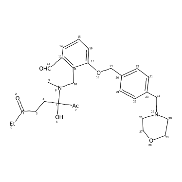 CCC(=O)CCC(O)(C(C)=O)N(C)Cc1c(C=O)cccc1OCc1ccc(CN2CCOCC2)cc1